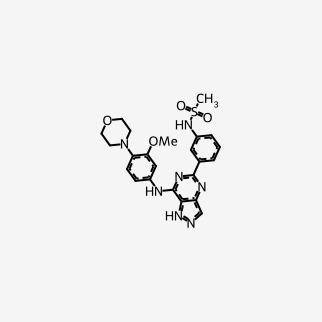 COc1cc(Nc2nc(-c3cccc(NS(C)(=O)=O)c3)nc3cn[nH]c23)ccc1N1CCOCC1